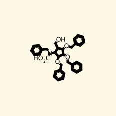 O=C(O)N(Cc1ccccc1)C1C(CO)C(OCc2ccccc2)C(OCc2ccccc2)C1OCc1ccccc1